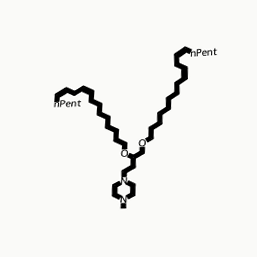 CCCCC/C=C\C/C=C\CCCCCCCCOCC(CCN1CCN(C)CC1)OCCCCCCCC/C=C\C/C=C\CCCCC